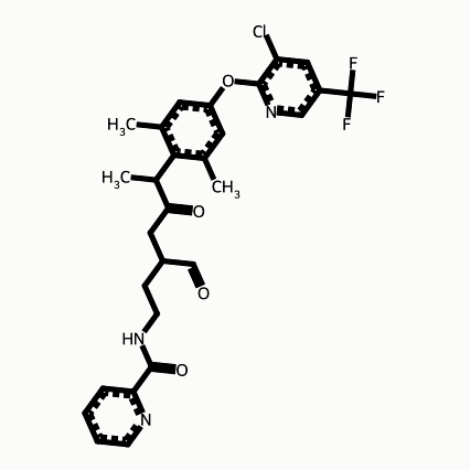 Cc1cc(Oc2ncc(C(F)(F)F)cc2Cl)cc(C)c1C(C)C(=O)CC(C=O)CCNC(=O)c1ccccn1